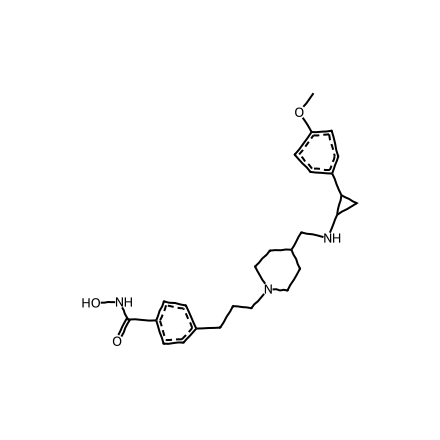 COc1ccc(C2CC2NCC2CCN(CCCc3ccc(C(=O)NO)cc3)CC2)cc1